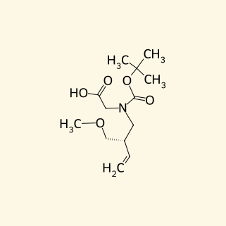 C=C[C@H](COC)CN(CC(=O)O)C(=O)OC(C)(C)C